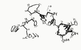 COc1cc(C(=O)N[C@@H](C)C(=O)N2CCC[C@H]2C(=O)NC(C=O)CC(=O)O)cc(Cl)c1O